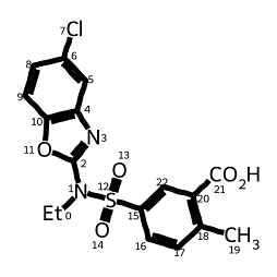 CCN(c1nc2cc(Cl)ccc2o1)S(=O)(=O)c1ccc(C)c(C(=O)O)c1